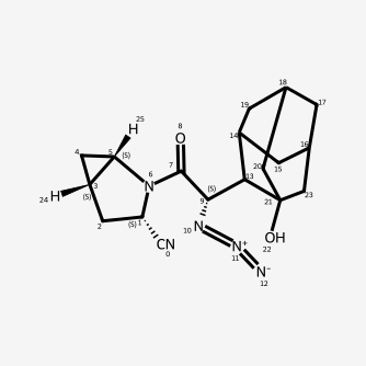 N#C[C@@H]1C[C@@H]2C[C@@H]2N1C(=O)[C@@H](N=[N+]=[N-])C1C2CC3CC(C2)CC1(O)C3